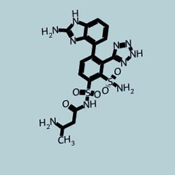 CC(N)CC(=O)NS(=O)(=O)c1ccc(-c2cccc3[nH]c(N)nc23)c(-c2nn[nH]n2)c1S(N)(=O)=O